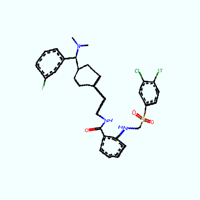 CN(C)C(c1cccc(F)c1)C1CCC(CCNC(=O)c2ccccc2NCS(=O)(=O)c2ccc(Cl)c(Cl)c2)CC1